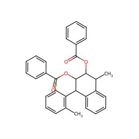 Cc1cccc(Cl)c1C1c2ccccc2C(C)C(OC(=O)c2ccccc2)C1OC(=O)c1ccccc1